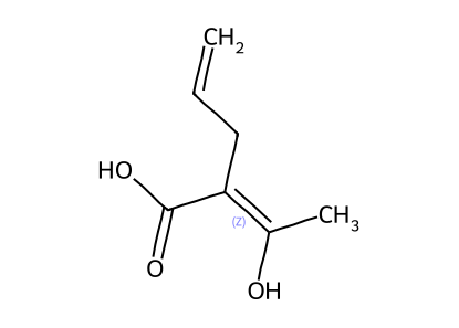 C=CC/C(C(=O)O)=C(\C)O